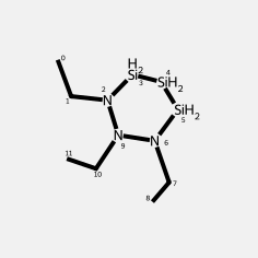 CCN1[SiH2][SiH2][SiH2]N(CC)N1CC